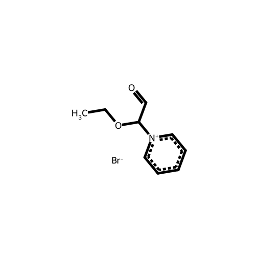 CCOC(C=O)[n+]1ccccc1.[Br-]